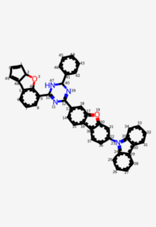 C1=CC2Oc3c(cccc3C3=NC(c4ccc5c(c4)oc4cc(-n6c7ccccc7c7ccccc76)ccc45)=NC(c4ccccc4)N3)C2=C1